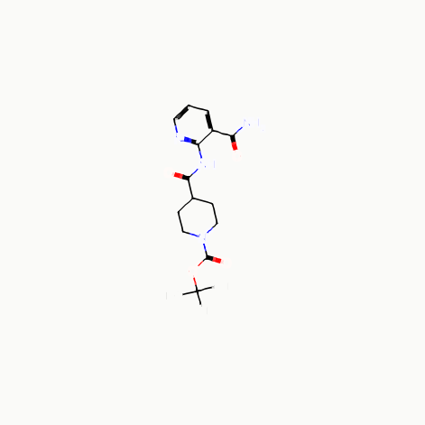 CC(C)(C)OC(=O)N1CCC(C(=O)Nc2ncccc2C(N)=O)CC1